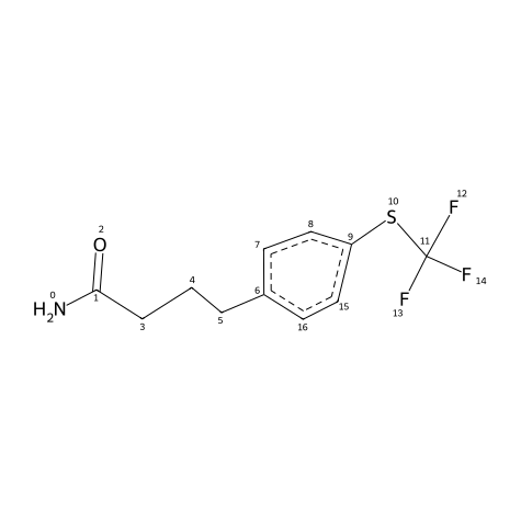 NC(=O)CCCc1ccc(SC(F)(F)F)cc1